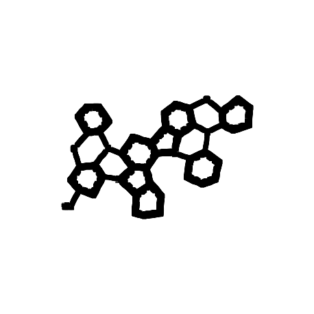 CC(C)(C)c1cc2c3c(c1)-n1c4ccccc4c4c1c(cc1c5ccc6c7c5n(c14)-c1ccccc1B7c1ccccc1O6)B3c1ccccc1O2